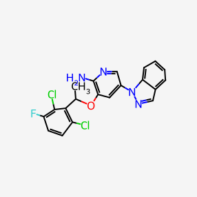 CC(Oc1cc(-n2ncc3ccccc32)cnc1N)c1c(Cl)ccc(F)c1Cl